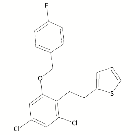 Fc1ccc(COc2cc(Cl)cc(Cl)c2CCc2cccs2)cc1